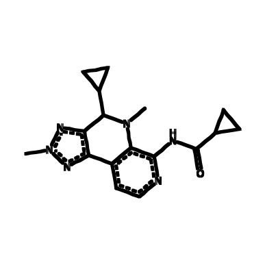 CN1c2c(ccnc2NC(=O)C2CC2)-c2nn(C)nc2C1C1CC1